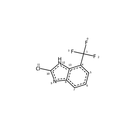 FC(F)(F)c1cccc2nc(Cl)[nH]c12